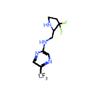 FC(F)(F)c1cnc(NCC2NCCC2(F)F)cn1